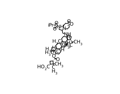 C=C(C)[C@@H]1CC[C@]2(NCC(CNS(=O)(=O)C(C)C)N3CCS(=O)(=O)CC3)CC[C@]3(C)[C@H](CC[C@@H]4[C@@]5(C)CC[C@H](OC(=O)[C@H]6C[C@@H](C(=O)O)C6(C)C)C(C)(C)[C@@H]5CC[C@]43C)[C@@H]12